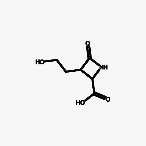 O=C1NC(C(=O)O)C1CCO